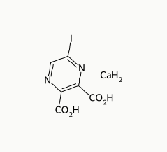 O=C(O)c1ncc(I)nc1C(=O)O.[CaH2]